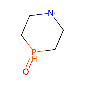 O=[PH]1CC[N]CC1